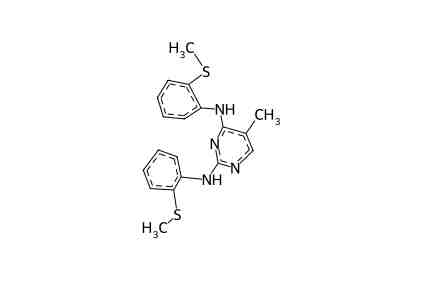 CSc1ccccc1Nc1ncc(C)c(Nc2ccccc2SC)n1